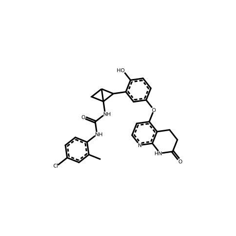 Cc1cc(Cl)ccc1NC(=O)NC12CC1C2c1cc(Oc2ccnc3c2CCC(=O)N3)ccc1O